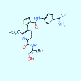 CC(C)(C)[C@@H](CO)NC(=O)c1ccc(-c2sccc2C(=O)Nc2ccc(C(=N)N)cc2)c(C(=O)O)n1